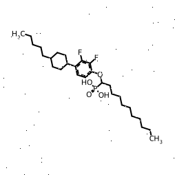 CCCCCCCCCCC(Oc1ccc(C2CCC(CCCCC)CC2)c(F)c1F)P(=O)(O)O